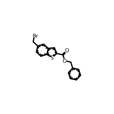 O=C(OCc1ccccc1)c1cc2cc(CBr)ccc2s1